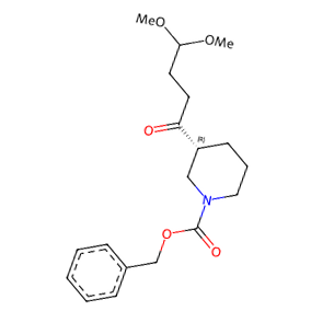 COC(CCC(=O)[C@@H]1CCCN(C(=O)OCc2ccccc2)C1)OC